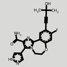 CC(C)(O)C#Cc1cc2c(cc1F)OCCn1c-2nc(C(N)=O)c1-c1cn[nH]c1